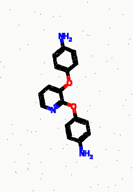 Nc1ccc(Oc2cccnc2Oc2ccc(N)cc2)cc1